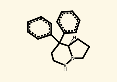 B1CCC(c2ccccc2)(c2ccccc2)[C@H]2CCCN12